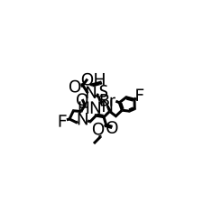 CCOC(=O)C1=C(CN2CC(F)CC2COCC(=O)O)NC(c2nccs2)=NC1Cc1ccc(F)cc1Br